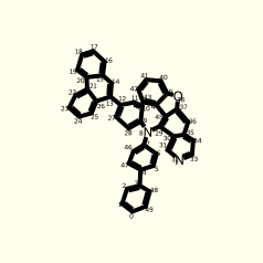 c1ccc(-c2ccc(N(c3ccc(-c4cc5ccccc5c5ccccc45)cc3)c3c4cnccc4cc4oc5ccccc5c34)cc2)cc1